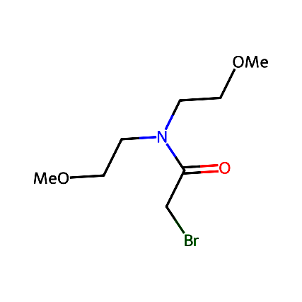 COCCN(CCOC)C(=O)CBr